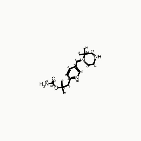 CC(C)(Cc1ccc(CN2CCNCC2(C)C)cn1)OC(N)=O